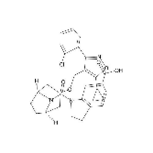 O=C(O)c1ccc2c(c1)N(C(=O)N1[C@@H]3CC[C@H]1CC(OCc1c(-c4ccccc4Cl)noc1C1CC1)C3)CC2